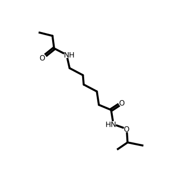 CCC(=O)NCCCCCC(=O)NOC(C)C